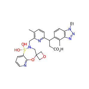 CCn1nnc2c(C)c(C(CC(=O)O)c3ccc(C)c(CN4CC5(COC5)Oc5ncccc5S4(O)O)n3)ccc21